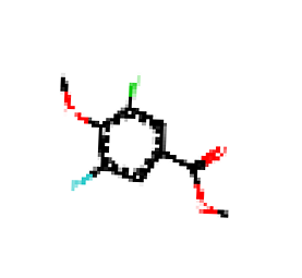 COC(=O)c1cc(F)c(OC)c(Cl)c1